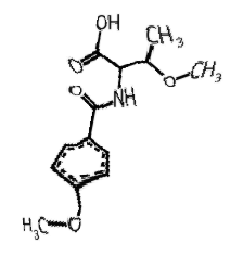 COc1ccc(C(=O)NC(C(=O)O)C(C)OC)cc1